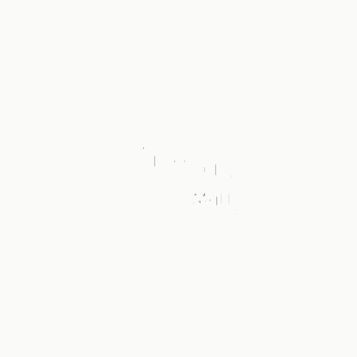 C.O.[AlH3].[MgH2]